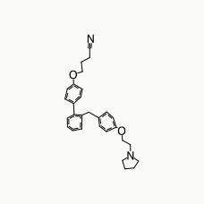 N#CCCCOc1ccc(-c2ccccc2Cc2ccc(OCCN3CCCC3)cc2)cc1